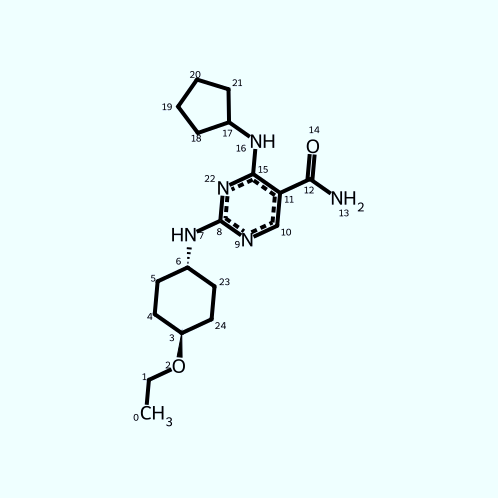 CCO[C@H]1CC[C@H](Nc2ncc(C(N)=O)c(NC3CCCC3)n2)CC1